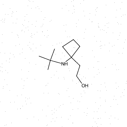 CC(C)(C)NC1(CCO)CCC1